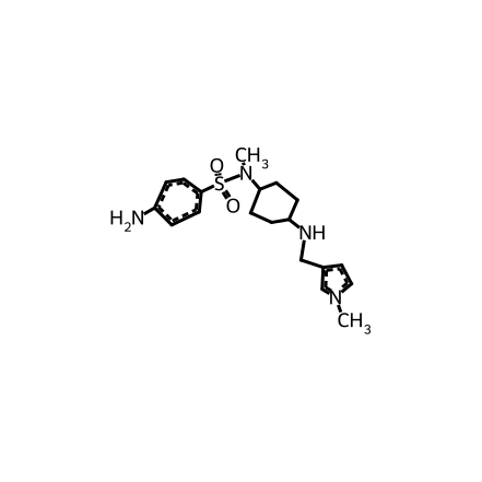 CN(C1CCC(NCc2ccn(C)c2)CC1)S(=O)(=O)c1ccc(N)cc1